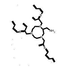 C=C/C=C\B=C(/C=C)CN1CCN(CC(=C)/B=C\C=C/C=C)CC(CN)N(C/C(=B/C=C\C=C)C=C)CC1